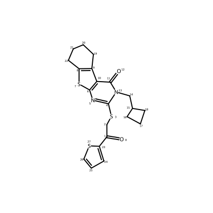 O=C(CSc1nc2sc3c(c2c(=O)n1CC1CCC1)CCCC3)c1cccs1